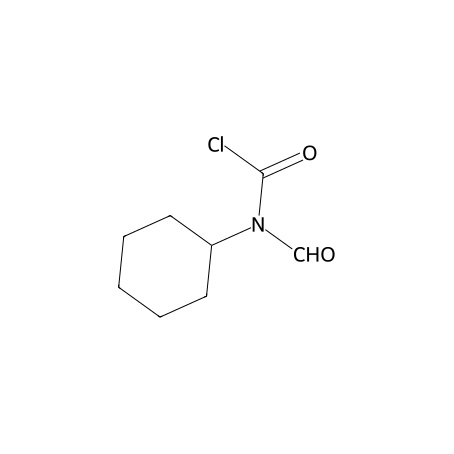 O=CN(C(=O)Cl)C1CCCCC1